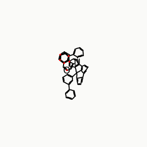 c1ccc(-c2ccc3c(c2)C2(c4ccccc4O3)c3ccccc3-c3cccc(N(c4ccccc4-c4ccccc4)c4cccc5ccccc45)c32)cc1